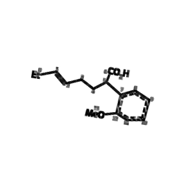 CCC=CCCC(C(=O)O)c1ccccc1OC